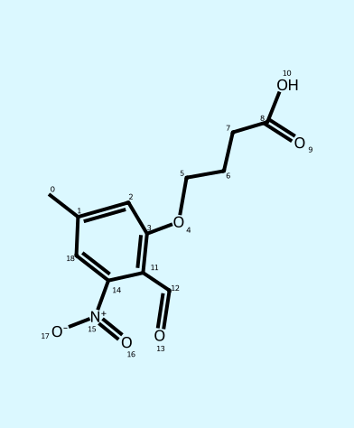 Cc1cc(OCCCC(=O)O)c(C=O)c([N+](=O)[O-])c1